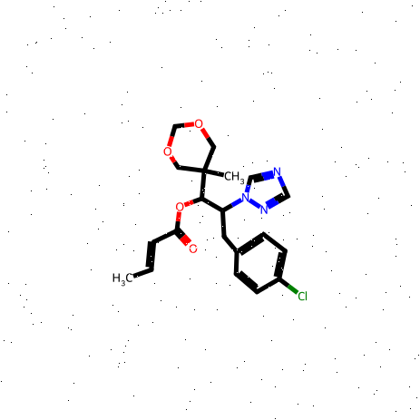 CC=CC(=O)OC(C(Cc1ccc(Cl)cc1)n1cncn1)C1(C)COCOC1